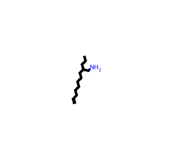 C=CCCCCCCC(CN)CCC